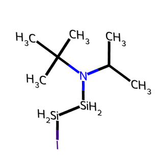 CC(C)N([SiH2][SiH2]I)C(C)(C)C